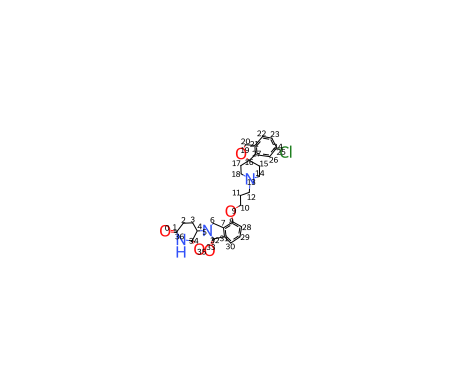 O=C1CCC(N2Cc3c(OCCCN4CCC5(CC4)OCc4ccc(Cl)cc45)cccc3C2=O)C(=O)N1